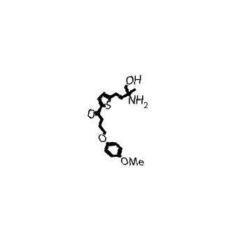 COc1ccc(OCCCC(=O)c2ccc(CCC(C)(N)CO)s2)cc1